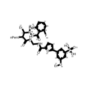 CCCCCC(C(=O)NCNC(=O)c1ccc(-c2cc(OCC)cc(P(=O)(O)O)c2)o1)C(CC)N(C=O)OC(=O)c1c(C)cccc1F